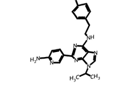 CC(C)n1cnc2c(NCCc3ccc(O)cc3)nc(-c3ccc(N)nc3)nc21